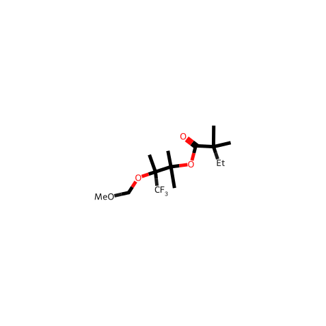 CCC(C)(C)C(=O)OC(C)(C)C(C)(OCOC)C(F)(F)F